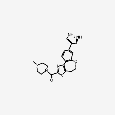 CN1CCN(C(=O)c2nc3c(s2)CCOc2cc(/C(C=N)=C/N)ccc2-3)CC1